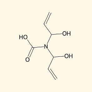 C=CC(O)N(C(=O)O)C(O)C=C